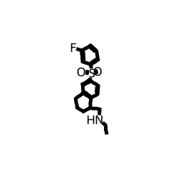 CCNCC1CCCc2cc(S(=O)(=O)c3cccc(F)c3)ccc21